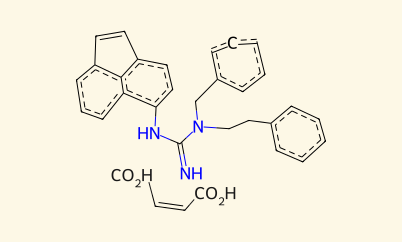 N=C(Nc1ccc2c3c(cccc13)C=C2)N(CCc1ccccc1)Cc1ccccc1.O=C(O)/C=C\C(=O)O